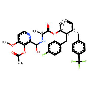 C=C[C@H](Cc1ccc(C(F)(F)F)cc1)[C@@H](Cc1ccc(F)cc1)[C@H](C)OC(=O)[C@H](C)NC(O)c1nccc(OC)c1OC(C)=O